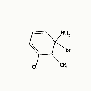 N#CC1C(Cl)=CC=CC1(N)Br